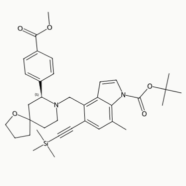 COC(=O)c1ccc([C@@H]2CC3(CCCO3)CCN2Cc2c(C#C[Si](C)(C)C)cc(C)c3c2ccn3C(=O)OC(C)(C)C)cc1